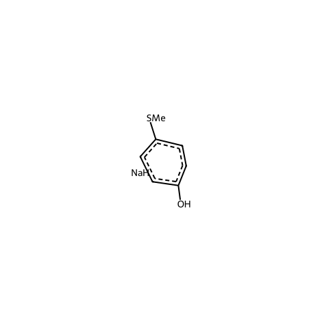 CSc1ccc(O)cc1.[NaH]